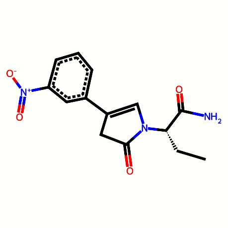 CC[C@@H](C(N)=O)N1C=C(c2cccc([N+](=O)[O-])c2)CC1=O